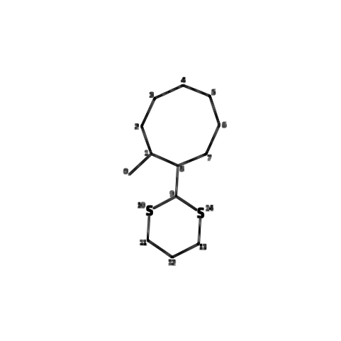 CC1CCCCCCC1C1SCCCS1